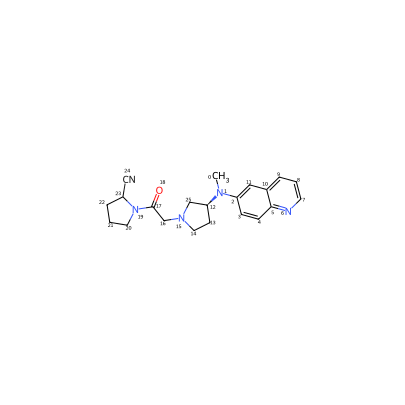 CN(c1ccc2ncccc2c1)[C@H]1CCN(CC(=O)N2CCCC2C#N)C1